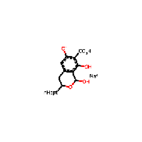 CCCCCCCC1Cc2cc([O-])c(C(=O)O)c(O)c2C(O)O1.[Na+]